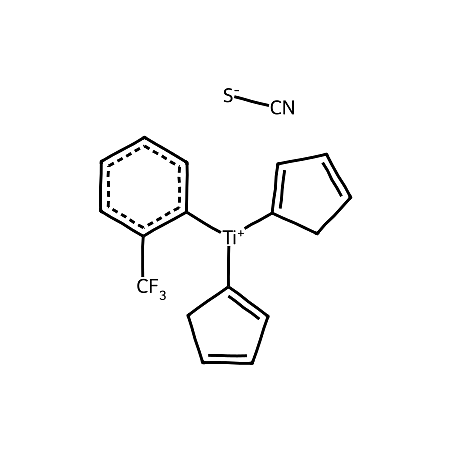 FC(F)(F)c1cccc[c]1[Ti+]([C]1=CC=CC1)[C]1=CC=CC1.N#C[S-]